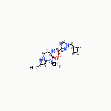 Cc1cc2n(n1)CCC(NC(=O)c1ncn(CC3CCC3)n1)C(=O)N2C